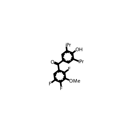 COc1c(F)c(F)cc(C(=O)c2cc(C(C)C)c(O)c(C(C)C)c2)c1F